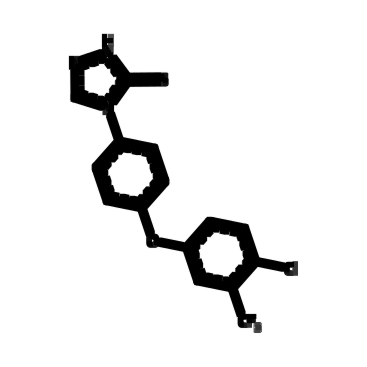 FC(F)(F)c1cc(Oc2ccc(-n3cn[nH]c3=S)cc2)ccc1Cl